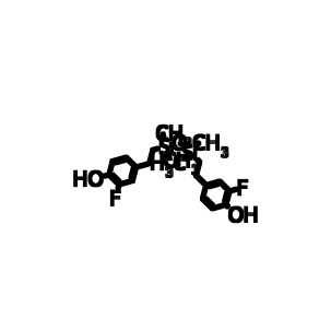 C[Si](C)(CCc1ccc(O)c(F)c1)O[Si](C)(C)CCc1ccc(O)c(F)c1